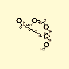 COc1cccc(CNC(=O)c2ccc(Nc3nc(NCCOCCOCCNC(=O)c4ccccc4)nc(Nc4ccc(O)cc4)n3)cc2)c1